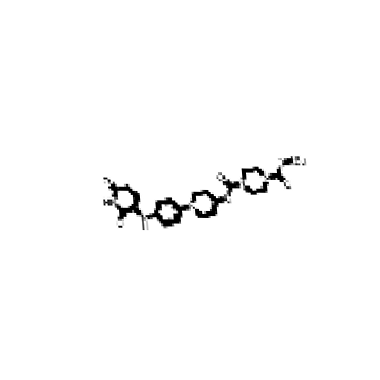 CC(C)(C)OC(=O)N1CCN(C(=O)OC2CCN(c3ccc(NC4CCC(=O)NC4=O)cc3)CC2)CC1